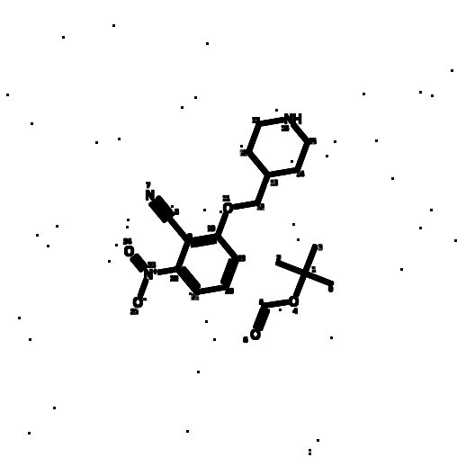 CC(C)(C)OC=O.N#Cc1c(OCC2CCNCC2)cccc1[N+](=O)[O-]